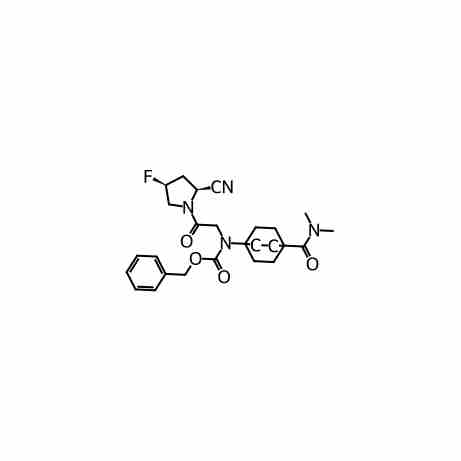 CN(C)C(=O)C12CCC(N(CC(=O)N3C[C@@H](F)C[C@H]3C#N)C(=O)OCc3ccccc3)(CC1)CC2